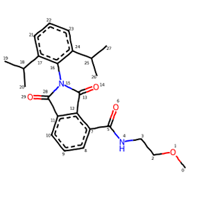 COCCNC(=O)c1cccc2c1C(=O)N(c1c(C(C)C)cccc1C(C)C)C2=O